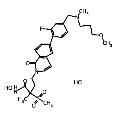 COCCCN(C)Cc1ccc(-c2ccc3c(=O)n(CCC(C)(C(=O)NO)S(C)(=O)=O)ccc3c2)c(F)c1.Cl